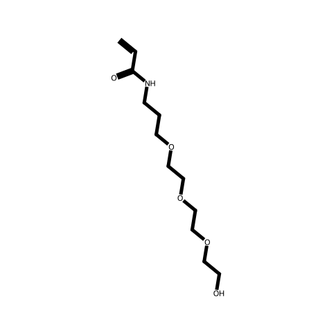 C=CC(=O)NCCCOCCOCCOCCO